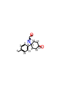 Cc1ccc(C2(N=C=O)CCC(=O)CC2)cc1